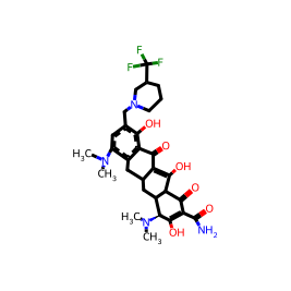 CN(C)c1cc(CN2CCCC(C(F)(F)F)C2)c(O)c2c1CC1CC3C(C(=O)C(C(N)=O)=C(O)[C@H]3N(C)C)C(O)=C1C2=O